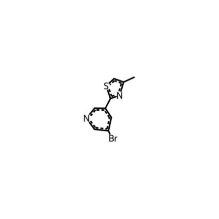 Cc1csc(-c2cncc(Br)c2)n1